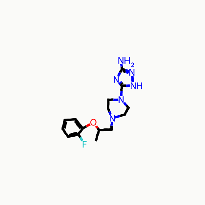 CC(CN1CCN(c2nc(N)n[nH]2)CC1)Oc1ccccc1F